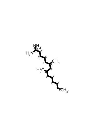 CCCCCCC(C)CC(C)CCCCC(N)N